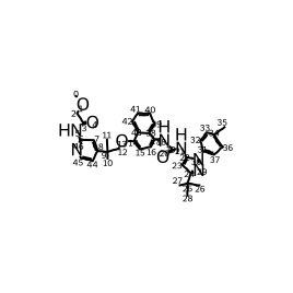 COCC(=O)Nc1cc(C(C)(C)COc2ccc(NC(=O)Nc3cc(C(C)(C)C)nn3-c3ccc(C)cc3)c3ccccc23)ccn1